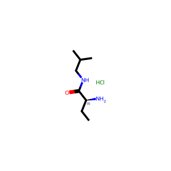 CC[C@H](N)C(=O)NCC(C)C.Cl